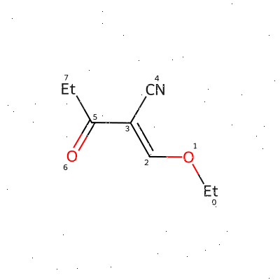 CCO/C=C(\C#N)C(=O)CC